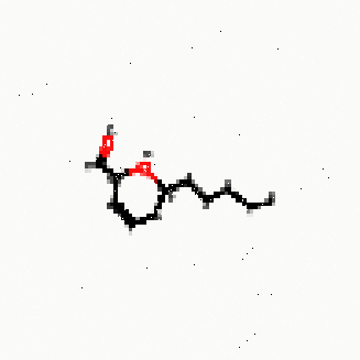 CCCCCC1CC=CC(C=O)O1